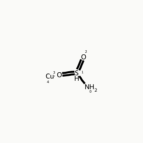 N[SH](=O)=O.[Cu]